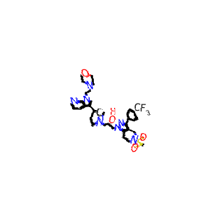 CS(=O)(=O)N1CCc2c(c(-c3ccc(C(F)(F)F)cc3)nn2CC(O)CN2CCC(c3cn(CCN4CCOCC4)c4ncccc34)CC2)C1